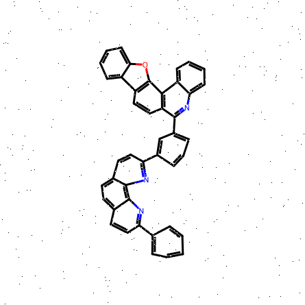 c1ccc(-c2ccc3ccc4ccc(-c5cccc(-c6nc7ccccc7c7c6ccc6c8ccccc8oc67)c5)nc4c3n2)cc1